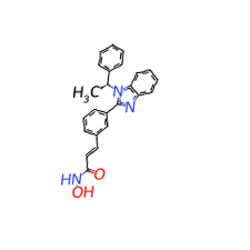 C[C@@H](c1ccccc1)n1c(-c2cccc(C=CC(=O)NO)c2)nc2ccccc21